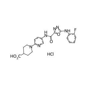 Cl.O=C(Nc1ccc(N2CCC(C(=O)O)CC2)nc1)c1nnc(Nc2ccccc2F)o1